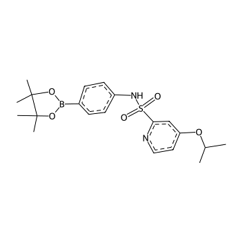 CC(C)Oc1ccnc(S(=O)(=O)Nc2ccc(B3OC(C)(C)C(C)(C)O3)cc2)c1